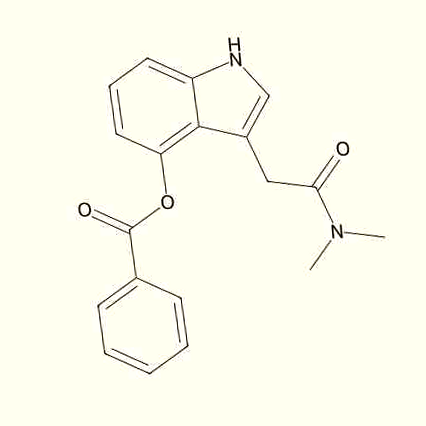 CN(C)C(=O)Cc1c[nH]c2cccc(OC(=O)c3ccccc3)c12